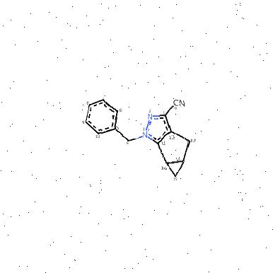 N#Cc1nn(Cc2ccccc2)c2c1CC1CC21